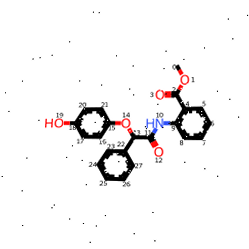 COC(=O)c1ccccc1NC(=O)C(Oc1ccc(O)cc1)c1ccccc1